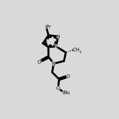 CC(C)c1cc2n(n1)[C@H](C)CN(CC(=O)OC(C)(C)C)C2=O